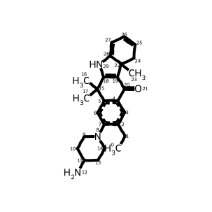 CCc1cc2c(cc1N1CCC(N)CC1)C(C)(C)C1=C(C2=O)C2(C)CC=CC=C2N1